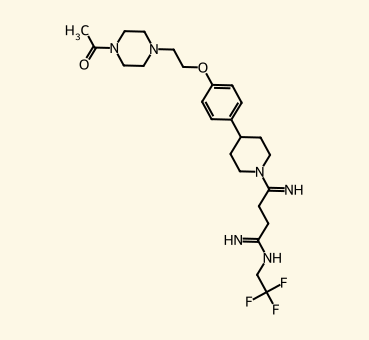 CC(=O)N1CCN(CCOc2ccc(C3CCN(C(=N)CCC(=N)NCC(F)(F)F)CC3)cc2)CC1